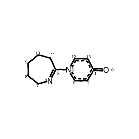 O=c1ccn(C2=NCCCCC2)cc1